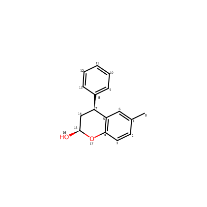 Cc1ccc2c(c1)[C@H](c1ccccc1)C[C@H](O)O2